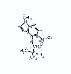 Cn1ccc2c(CNC(C)(C)C)c([N+](=O)[O-])cnc21